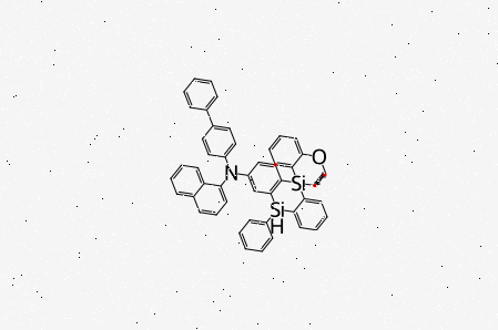 c1ccc(-c2ccc(N(c3ccc4c(c3)[SiH](c3ccccc3)c3ccccc3[Si]43c4ccccc4Oc4ccccc43)c3cccc4ccccc34)cc2)cc1